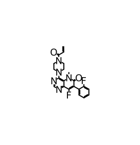 C=CC(=O)N1CCN(c2ncnc3c(F)c(-c4ccccc4F)c(=O)n(C)c23)CC1